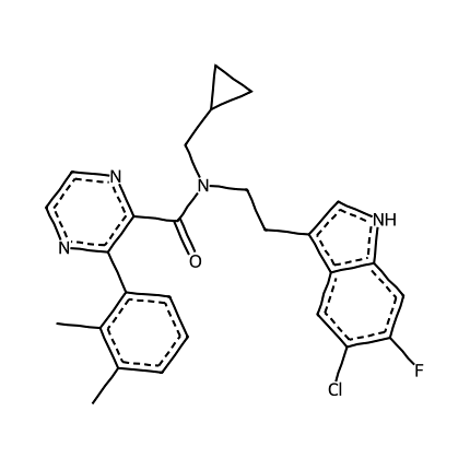 Cc1cccc(-c2nccnc2C(=O)N(CCc2c[nH]c3cc(F)c(Cl)cc23)CC2CC2)c1C